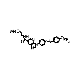 COCCNC(=O)c1cnc2c(c1)ncn2-c1ccc(OCc2ccc(OC(F)(F)F)cc2)cc1